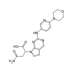 NC(=O)CC(C(=O)O)n1ccc2cnc(Nc3ccc(N4CCOCC4)nc3)nc21